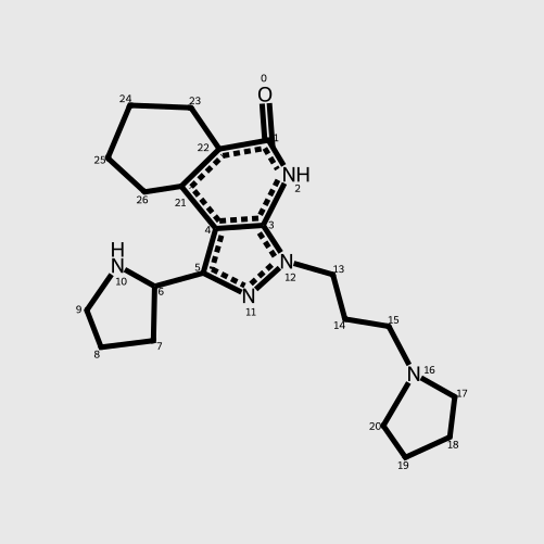 O=c1[nH]c2c(c(C3CCCN3)nn2CCCN2CCCC2)c2c1CCCC2